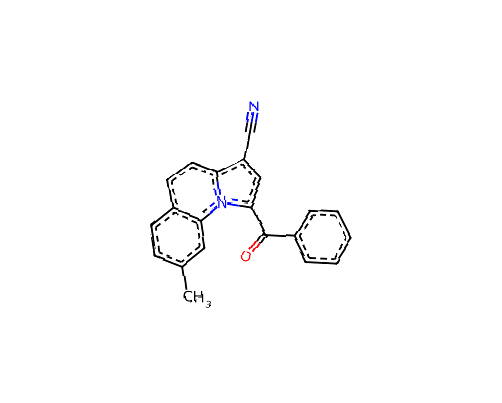 Cc1ccc2ccc3c(C#N)cc(C(=O)c4ccccc4)n3c2c1